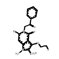 CCOC(=O)c1c(OCCF)c2c(=O)n(CC(=O)c3ccccc3)c(CC)cc2n1C